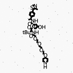 Cc1ncsc1-c1ccc(C(C)NC(=O)[C@@H]2C[C@@H](O)CN2C(=O)C(NC(=O)COCCOCCOCCOC2CCNCC2)C(C)(C)C)cc1